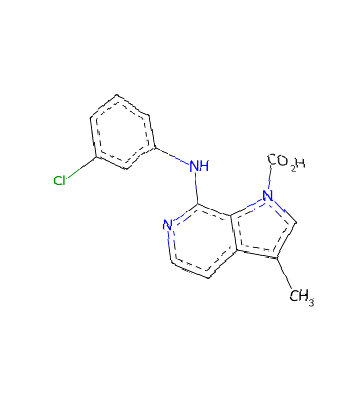 Cc1cn(C(=O)O)c2c(Nc3cccc(Cl)c3)nccc12